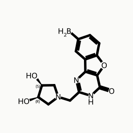 Bc1ccc2oc3c(=O)[nH]c(CN4C[C@@H](O)[C@@H](O)C4)nc3c2c1